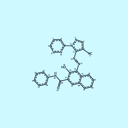 [C-]#[N+]c1cnn(-c2cccnn2)c1/N=N/c1c(O)c(C(=O)Nc2ccccc2)cc2ccccc12